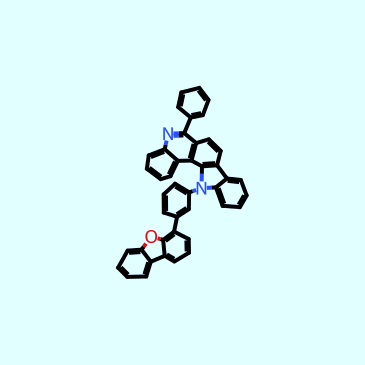 c1ccc(-c2nc3ccccc3c3c2ccc2c4ccccc4n(-c4cccc(-c5cccc6c5oc5ccccc56)c4)c23)cc1